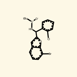 CC(C)(C)[S+]([O-])NC(c1cc2cccc(Br)c2s1)c1ccccc1Cl